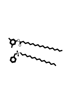 CCCCCCCCCCCCCCCCCC(=O)Oc1cc(C)cc(C)c1.CCCCCCCCCCCCCCCC[N+](C)(C)Cc1ccccc1